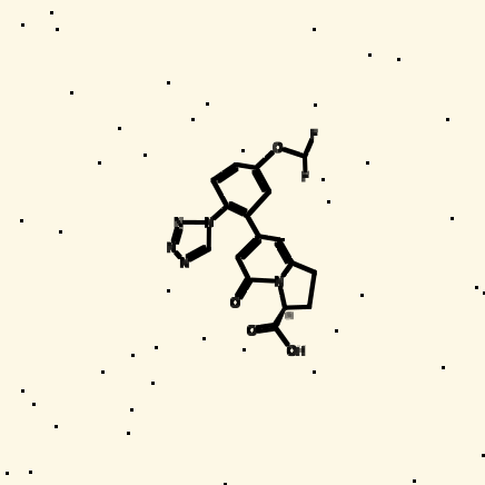 O=C(O)[C@@H]1CCc2cc(-c3cc(OC(F)F)ccc3-n3cnnn3)cc(=O)n21